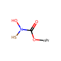 CCCOC(=O)N(O)S